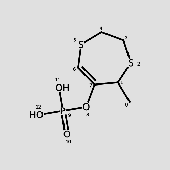 CC1SCCSC=C1OP(=O)(O)O